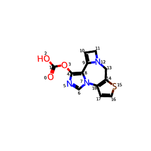 O=C(O)Oc1ncn2c1C1=CCN1Cc1sccc1-2